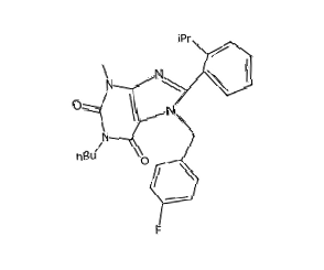 CCCCn1c(=O)c2c(nc(-c3ccccc3C(C)C)n2Cc2ccc(F)cc2)n(C)c1=O